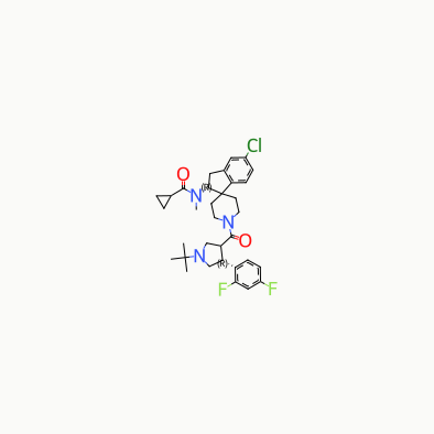 CN(C(=O)C1CC1)[C@@H]1Cc2cc(Cl)ccc2C12CCN(C(=O)C1CN(C(C)(C)C)C[C@H]1c1ccc(F)cc1F)CC2